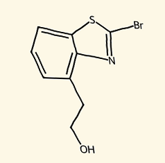 OCCc1cccc2sc(Br)nc12